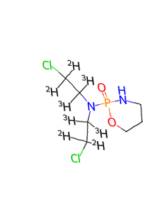 [2H]C([2H])(Cl)C([3H])([3H])N(C([3H])([3H])C([2H])([2H])Cl)P1(=O)NCCCO1